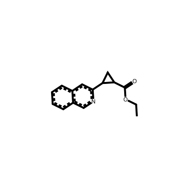 CCOC(=O)C1CC1c1cc2ccccc2cn1